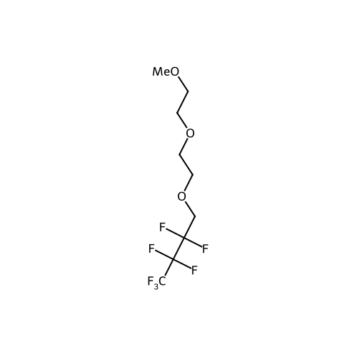 COCCOCCOCC(F)(F)C(F)(F)C(F)(F)F